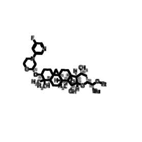 CCO[C@@H]([C@H]1C[C@@H](C)[C@H]2[C@H](O1)[C@H](O)[C@@]1(C)[C@@H]3CC[C@H]4C(C)(C)[C@@H](O[C@H]5CN(c6cncc(F)c6)CCO5)CCC45C[C@@]35CC[C@]21C)C(C)(C)C